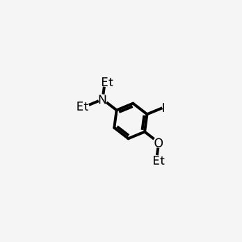 CCOc1ccc(N(CC)CC)cc1I